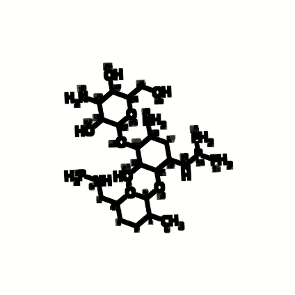 CC1CCC(CNP)OC1OC1C(NP(P)P)CC(N)C(OC2OC(CO)C(O)C(N)C2O)C1O